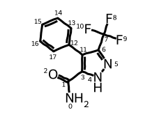 NC(=O)c1[nH]nc(C(F)(F)F)c1-c1ccccc1